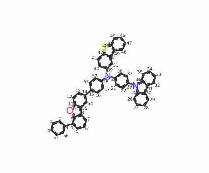 c1ccc(-c2cccc3c2oc2ccc(-c4ccc(N(c5ccc(-n6c7ccccc7c7ccccc76)cc5)c5ccc6sc7ccccc7c6c5)cc4)cc23)cc1